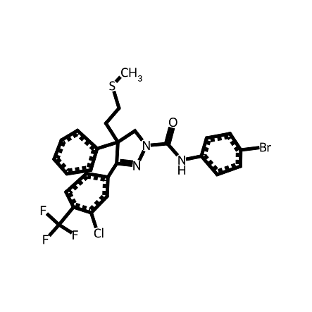 CSCCC1(c2ccccc2)CN(C(=O)Nc2ccc(Br)cc2)N=C1c1ccc(C(F)(F)F)c(Cl)c1